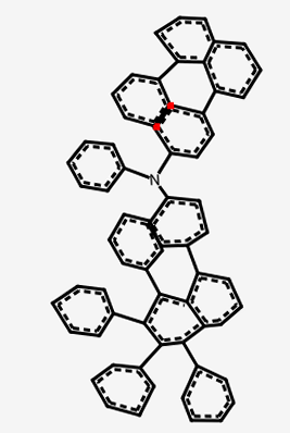 c1ccc(-c2c(-c3ccccc3)c(-c3ccccc3)c3c(-c4ccc(N(c5ccccc5)c5ccc(-c6cccc7cccc(-c8ccccc8)c67)cc5)cc4)cccc3c2-c2ccccc2)cc1